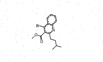 COC(=O)c1c(CCC(C)C)nc2ccccc2c1Br